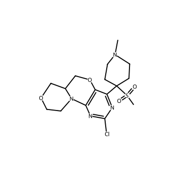 CN1CCC(c2nc(Cl)nc3c2OCC2COCCN32)(S(C)(=O)=O)CC1